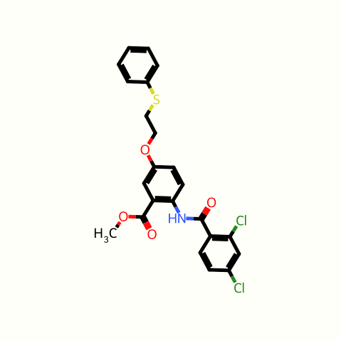 COC(=O)c1cc(OCCSc2ccccc2)ccc1NC(=O)c1ccc(Cl)cc1Cl